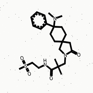 CN(C)C1(c2ccccc2)CCC2(CC1)CC(=O)N(CC(C)(C)C(=O)NCCS(C)(=O)=O)C2